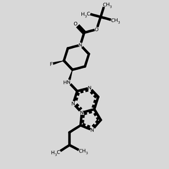 CC(C)Cc1ncc2cnc(N[C@@H]3CCN(C(=O)OC(C)(C)C)C[C@@H]3F)nn12